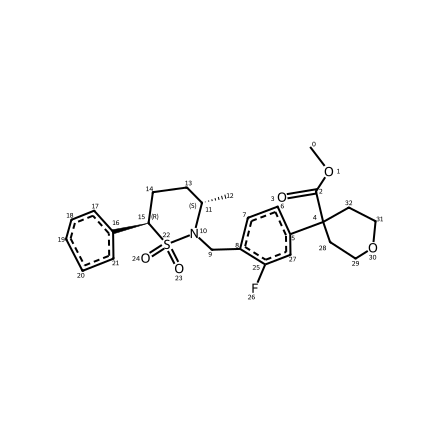 COC(=O)C1(c2ccc(CN3[C@@H](C)CC[C@H](c4ccccc4)S3(=O)=O)c(F)c2)CCOCC1